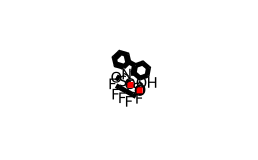 O=S(=O)(O)C(F)(F)C(F)(F)C(F)(F)S(=O)(=O)n1c2c(c3ccccc31)CCCC2